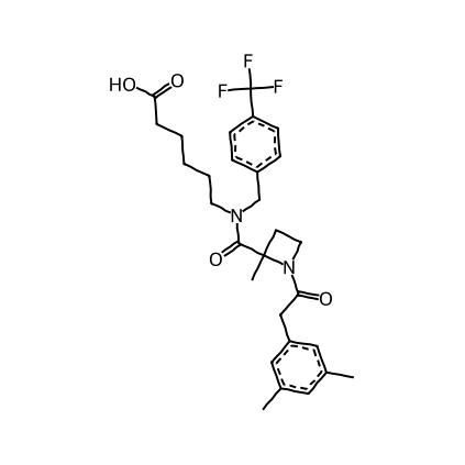 Cc1cc(C)cc(CC(=O)N2CCC2(C)C(=O)N(CCCCCC(=O)O)Cc2ccc(C(F)(F)F)cc2)c1